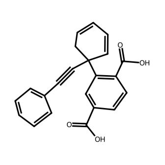 O=C(O)c1ccc(C(=O)O)c(C2(C#Cc3ccccc3)C=CC=CC2)c1